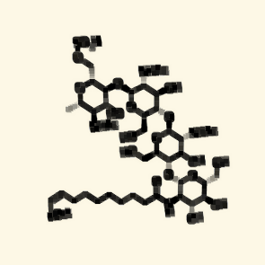 CCCCCCCC/C=C\CCCCCCCC(=O)N[C@H]1[C@H](O[C@H]2C(O)[C@@H](NC(C)=O)[C@H](O[C@H]3[C@H](O)[C@@H](NC(C)=O)[C@H](O[C@H]4C(O)[C@@H](NC(C)=O)[C@H](C)O[C@@H]4COS(=O)(=O)O)O[C@@H]3CO)O[C@@H]2CO)O[C@H](CO)[C@@H](O)[C@@H]1O